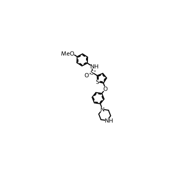 COc1ccc(N[S+]([O-])c2ccc(Oc3cccc(N4CCNCC4)c3)s2)cc1